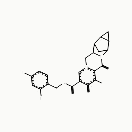 O=C(NCc1ccc(F)cc1F)c1cn2c(c(O)c1=O)C(=O)N1C3CC(C4CC43)C1C2